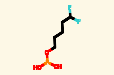 OP(O)OCCCCC(F)F